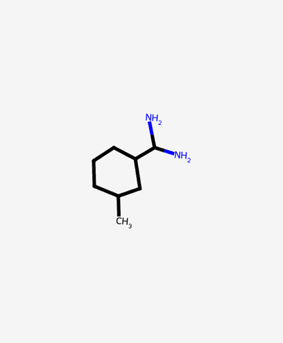 CC1CCCC(C(N)N)C1